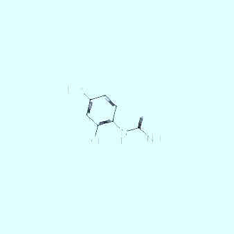 Cc1cc(O)ccc1NC(N)=S